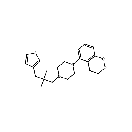 CC(C)(Cc1ccsc1)CN1CCN(c2cccc3c2CCOO3)CC1